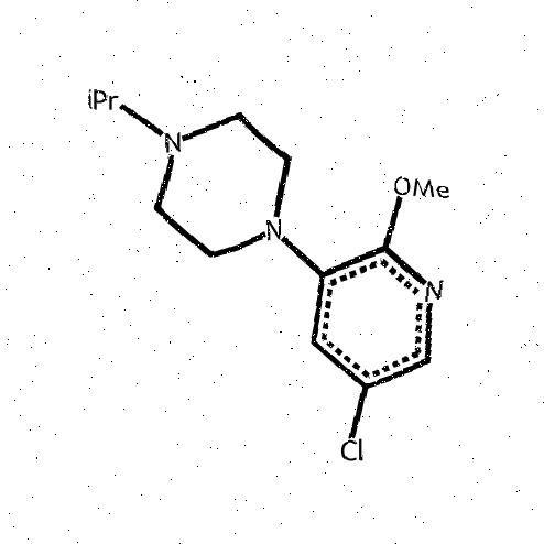 COc1ncc(Cl)cc1N1CCN(C(C)C)CC1